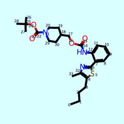 CCCCc1sc(-c2ccccc2NC(=O)OCC2CCN(C(=O)OC(C)(C)C)CC2)nc1C